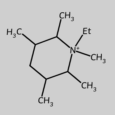 CC[N+]1(C)C(C)C(C)CC(C)C1C